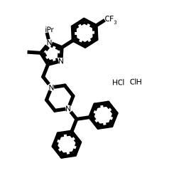 Cc1c(CN2CCN(C(c3ccccc3)c3ccccc3)CC2)nc(-c2ccc(C(F)(F)F)cc2)n1C(C)C.Cl.Cl